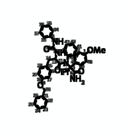 COc1ccc(C(C(N)=O)(C(C)C)N(C(=O)C(Cc2ccc(OCc3ccccc3)cc2)NC(=O)Nc2ccccc2)c2ccccc2)cc1